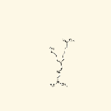 CN(C)CC[SH]=CN(CCCO)CCCCCC(=O)O